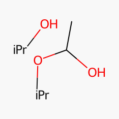 CC(C)O.CC(C)OC(C)O